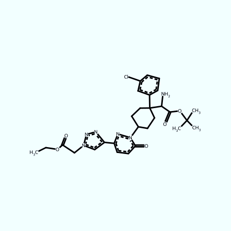 CCOC(=O)Cn1cc(-c2ccc(=O)n(C3CCC(c4cccc(Cl)c4)(C(N)C(=O)OC(C)(C)C)CC3)n2)nn1